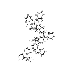 CC1(C)c2ccccc2-c2ccc(-c3cc4c(c5c3oc3ccccc35)-c3ccc(N(c5ccc6c(c5)C(C)(C)c5c7c(c8c(oc9ccccc98)c5-6)-c5ccccc5C7(C)C)c5ccccn5)cc3C4(C)C)cc21